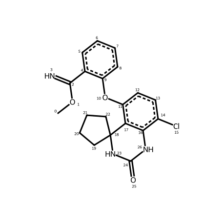 COC(=N)c1ccccc1Oc1ccc(Cl)c2c1C1(CCCC1)NC(=O)N2